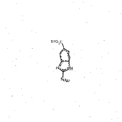 CCOC(=O)c1ccc2[nH]c(NC)nc2c1